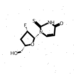 O=c1ccn([C@@H]2O[C@H](CO)C[C@@H]2F)c(=S)[nH]1